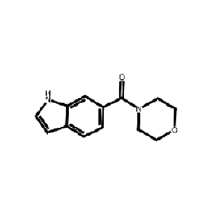 O=C(c1ccc2cc[nH]c2c1)N1CCOCC1